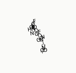 CC(C)(C)OC(=O)N1CCC(CCn2cnc3ccc(Oc4c(F)ccc(NS(=O)(=O)N5CC[C@@H](F)C5)c4C#N)cc3c2=O)CC1